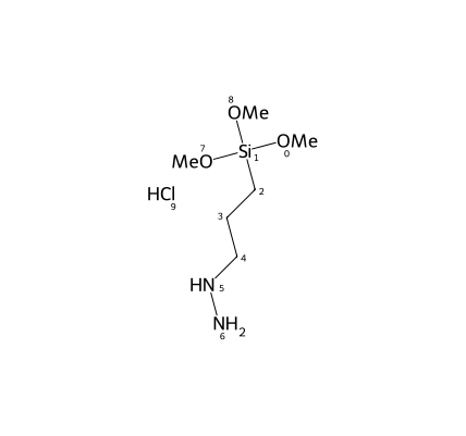 CO[Si](CCCNN)(OC)OC.Cl